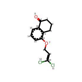 O=C1CCCc2c(OCC=C(Cl)Cl)cccc21